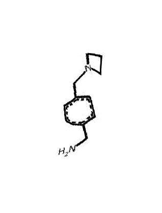 NCc1ccc(CN2CCC2)cc1